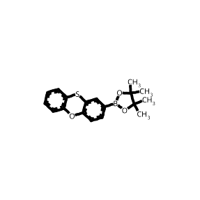 CC1(C)OB(c2ccc3c(c2)Sc2ccccc2O3)OC1(C)C